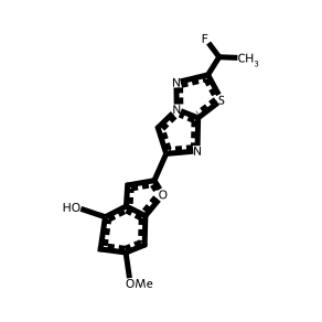 COc1cc(O)c2cc(-c3cn4nc(C(C)F)sc4n3)oc2c1